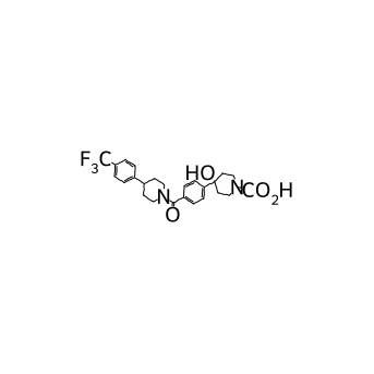 O=C(O)N1CCC(O)(c2ccc(C(=O)N3CCC(c4ccc(C(F)(F)F)cc4)CC3)cc2)CC1